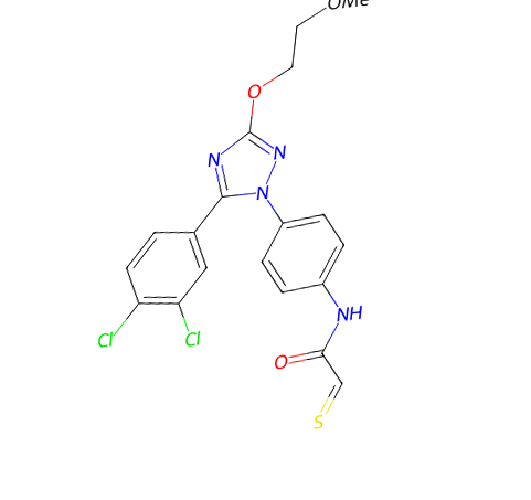 COCCOc1nc(-c2ccc(Cl)c(Cl)c2)n(-c2ccc(NC(=O)C=S)cc2)n1